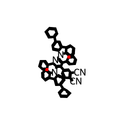 N#Cc1ccc(-c2c(-c3ccccc3)c(-n3c4ccccc4c4cc(-c5ccccc5)ccc43)nc(-c3ccccc3)c2-n2c3ccccc3c3cc(-c4ccccc4)ccc32)cc1C#N